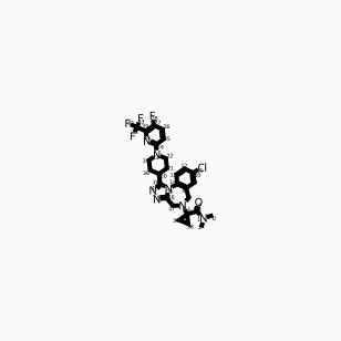 CN(C)C(=O)C1(N2Cc3cc(Cl)ccc3-n3c(nnc3C3CCN(c4ccc(F)c(C(F)(F)F)n4)CC3)C2)CC1